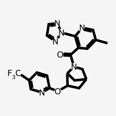 Cc1cnc(-n2nccn2)c(C(=O)N2CC3CC(Oc4ccc(C(F)(F)F)cn4)C2C3)c1